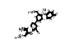 CCCN/C=C(\C=N)SN1CC=C(c2ccc(Nc3ccc(F)cc3)c(C=N)c2)CC1C